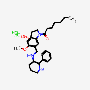 CCCCCCC(=O)N1CCc2cc(OC)c(CNC3CCCNC3c3ccccc3)cc21.Cl.Cl.O